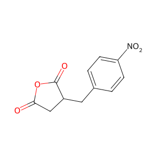 O=C1CC(Cc2ccc([N+](=O)[O-])cc2)C(=O)O1